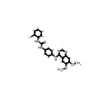 COc1cc2ncnc(Nc3ccc(NC(=O)Nc4ccccc4I)cc3)c2cc1OC